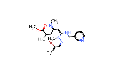 C=C(Br)/C=N\N(C)/C(=C\C(C[C@@H](C)C(=O)OC)=N/C)NCc1cccnc1